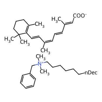 CC1=C(/C=C/C(C)=C\C=C\C(C)=C\C(=O)[O-])C(C)(C)CCC1.CCCCCCCCCCCCCCCC[N+](C)(C)Cc1ccccc1